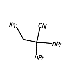 CCCC(C#N)(CCC)CC(C)C